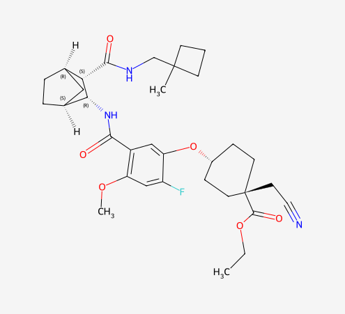 CCOC(=O)[C@]1(CC#N)CC[C@H](Oc2cc(C(=O)N[C@@H]3[C@H]4CC[C@H](C4)[C@@H]3C(=O)NCC3(C)CCC3)c(OC)cc2F)CC1